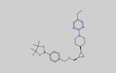 CCc1cnc(N2CCC([C@H]3C[C@H]3COCc3ccc(B4OC(C)(C)C(C)(C)O4)cc3)CC2)nc1